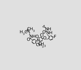 Cc1ccc(C(=O)NCCN(C)C)cc1-n1c(C)cc(OCc2ccc(F)cc2CNC(=O)NC2CC2)c(Cl)c1=O